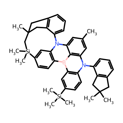 Cc1cc2c3c(c1)N1c4cc(ccc4B3c3cc([Si](C)(C)C)ccc3N2c2cccc3c2CC(C)(C)C3)[Si](C)(C)CC2(C)Cc3cccc1c3C2